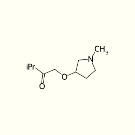 CC(C)C(=O)COC1CCN(C)C1